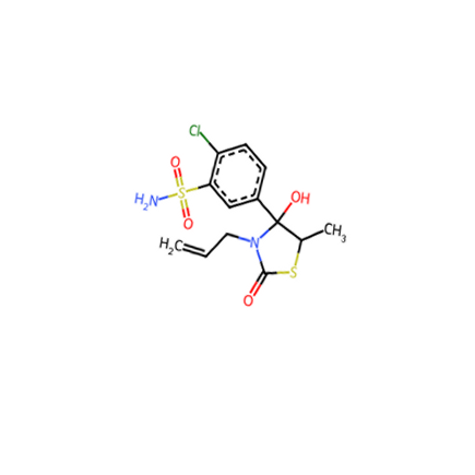 C=CCN1C(=O)SC(C)C1(O)c1ccc(Cl)c(S(N)(=O)=O)c1